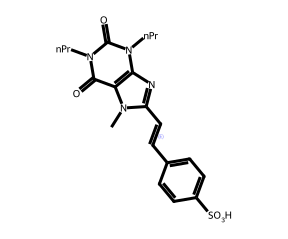 CCCn1c(=O)c2c(nc(/C=C/c3ccc(S(=O)(=O)O)cc3)n2C)n(CCC)c1=O